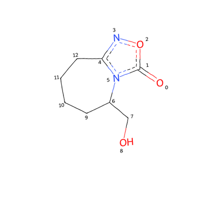 O=c1onc2n1C(CO)CCCC2